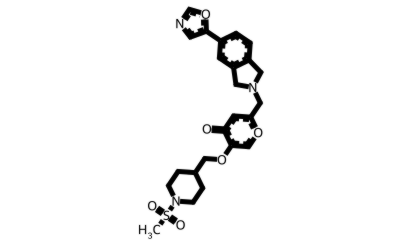 CS(=O)(=O)N1CCC(COc2coc(CN3Cc4ccc(-c5cnco5)cc4C3)cc2=O)CC1